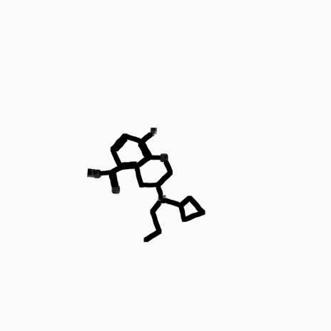 CCCN(C1CCC1)C1COc2c(F)ccc(C(=O)O)c2C1